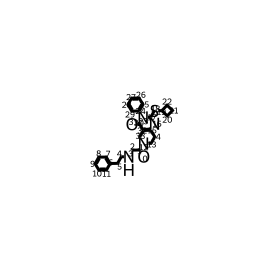 O=C(CNCCc1ccccc1)N1CCc2nc(SC3CCC3)n(-c3ccccc3)c(=O)c2C1